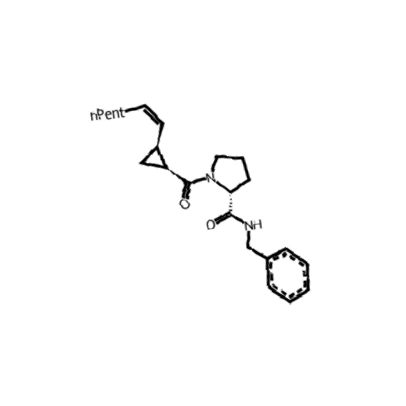 CCCCC/C=C\[C@@H]1C[C@@H]1C(=O)N1CCC[C@@H]1C(=O)NCc1ccccc1